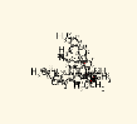 Cc1ccc(-c2ccc3c4ccc(-c5ccc(C)cc5C)cc4n(-c4cc(C#N)cc(-n5c6cc(-c7ccc(C)cc7C)ccc6c6ccc(-c7ccc(C)cc7C)cc65)c4-c4ccc(C#N)cc4F)c3c2)c(C)c1